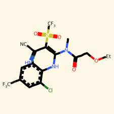 CCOCC(=O)N(C)/C(Nc1c(Cl)cc(C(F)(F)F)cc1Cl)=C(/C(=N)C#N)S(=O)(=O)C(F)(F)F